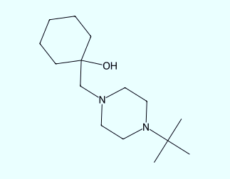 CC(C)(C)N1CCN(CC2(O)CCCCC2)CC1